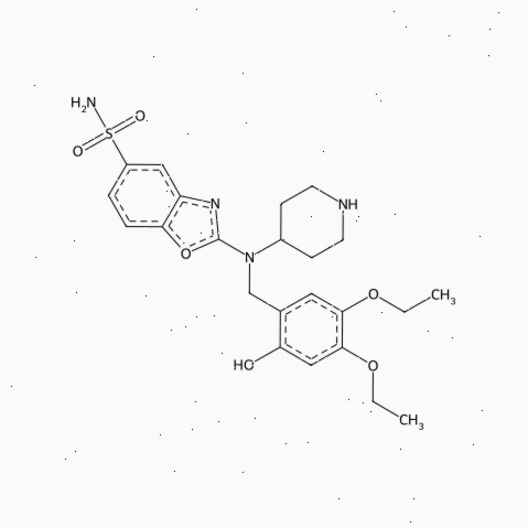 CCOc1cc(O)c(CN(c2nc3cc(S(N)(=O)=O)ccc3o2)C2CCNCC2)cc1OCC